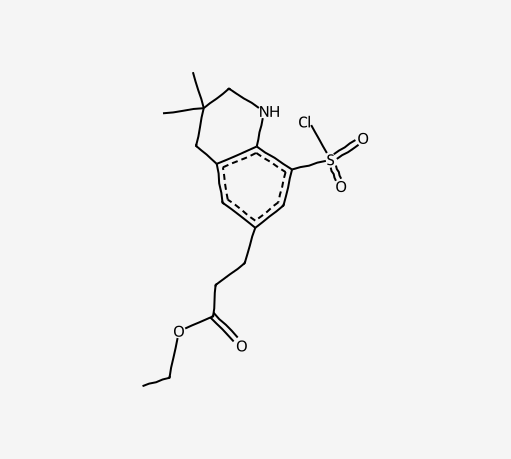 CCOC(=O)CCc1cc2c(c(S(=O)(=O)Cl)c1)NCC(C)(C)C2